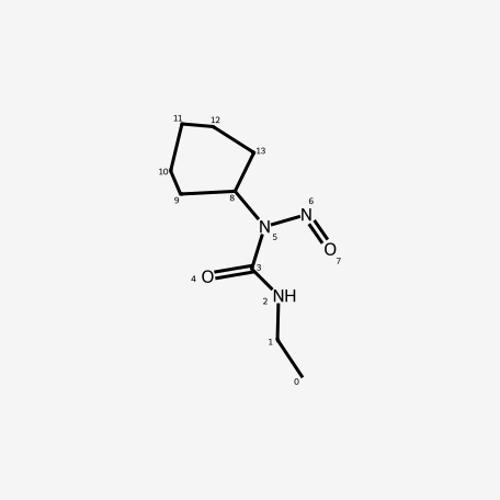 CCNC(=O)N(N=O)C1CCCCC1